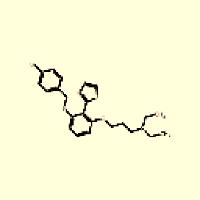 CCN(CC)CCCOc1cccc(SCc2ccc(Cl)cc2)c1-c1nccs1